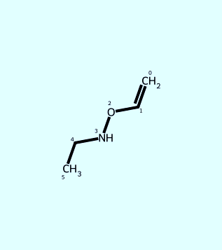 C=CONCC